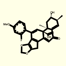 COc1ccc(C2=C[C@@]3(C(O)=S)C(=CC(=O)C4=C[C@H](C)[C@@H](O)C[C@@]43C)C3=C2C2=C(C3)OCO2)c(F)c1